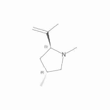 C=C(C)[C@@H]1C[C@@H](C)CN1C